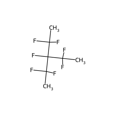 CC(F)(F)C(F)(C(C)(F)F)C(C)(F)F